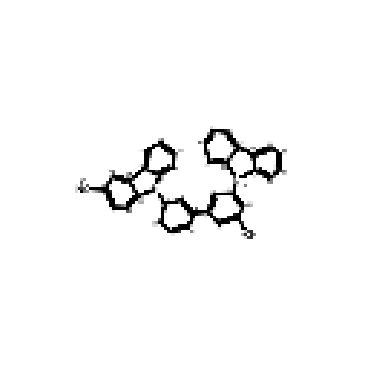 N#Cc1cc(C2=CC(n3c4ccccc4c4cc(C#N)ccc43)CC=C2)cc(-n2c3ccccc3c3ccccc32)c1